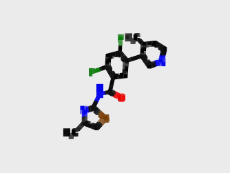 Cc1csc(NC(=O)c2cc(-c3cnccc3C)c(F)cc2F)n1